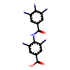 O=C(O)c1cc(I)c(NC(=O)c2cc(I)c(I)c(I)c2)c(I)c1